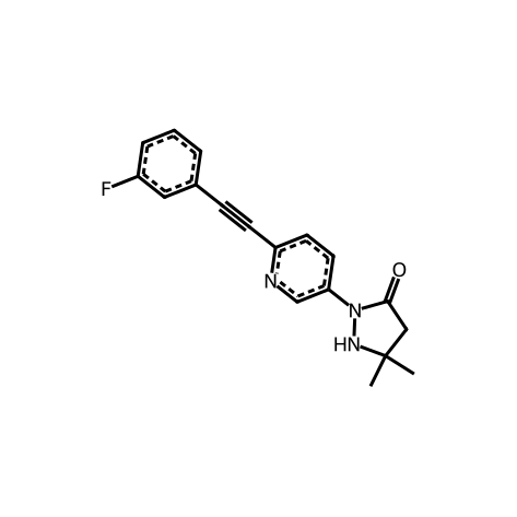 CC1(C)CC(=O)N(c2ccc(C#Cc3cccc(F)c3)nc2)N1